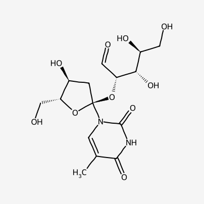 Cc1cn([C@@]2(O[C@H](C=O)[C@@H](O)[C@@H](O)CO)C[C@H](O)[C@@H](CO)O2)c(=O)[nH]c1=O